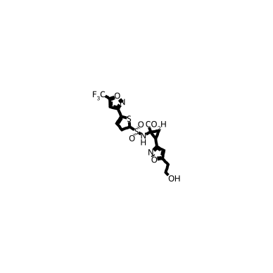 O=C(O)C1(NS(=O)(=O)C2CC=C(c3cc(C(F)(F)F)on3)S2)CC1c1cc(CCO)on1